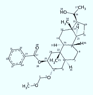 COCO[C@H]1C[C@@H]2CC[C@@H]3[C@H](CC[C@]4(C)[C@@H](C(C)O)CC[C@@H]34)[C@@]2(C)C[C@@H]1OC(=O)c1ccccc1